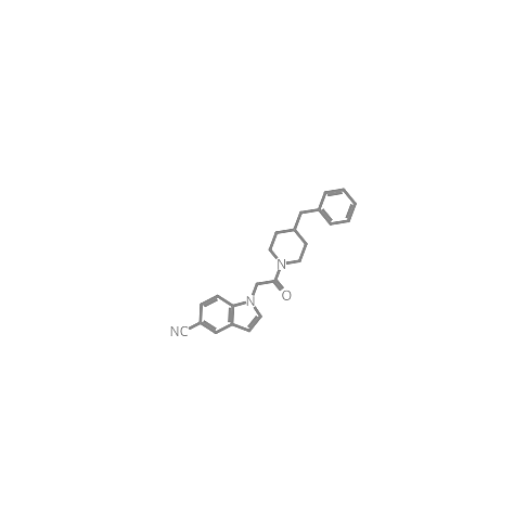 N#Cc1ccc2c(ccn2CC(=O)N2CCC(Cc3ccccc3)CC2)c1